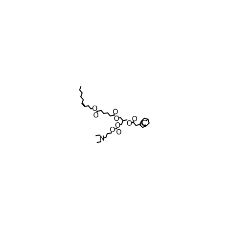 CCCCC/C=C\CCOC(=O)CCCCC(=O)OCC(COC(=O)CC12CC3CC(CC1C3)C2)COC(=O)OCCCN(CC)CC